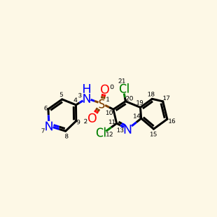 O=S(=O)(Nc1ccncc1)c1c(Cl)nc2ccccc2c1Cl